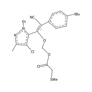 CCn1nc(C)c(Cl)c1/C(OCOC(=O)CSC)=C(\C#N)c1ccc(C(C)(C)C)cc1